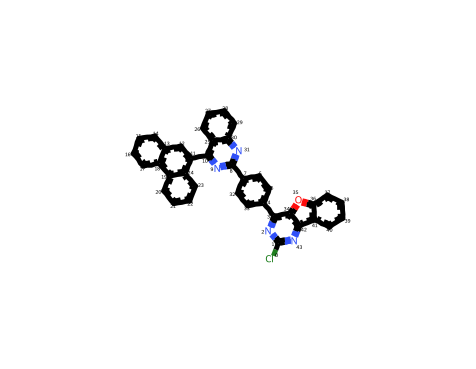 Clc1nc(-c2ccc(-c3nc(-c4cc5ccccc5c5ccccc45)c4ccccc4n3)cc2)c2oc3ccccc3c2n1